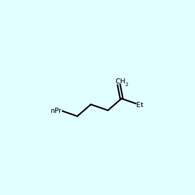 C=C(CC)CCCCCC